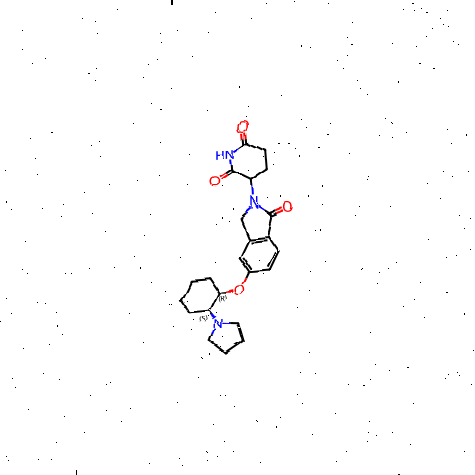 O=C1CCC(N2Cc3cc(O[C@@H]4CCCC[C@@H]4N4CCCC4)ccc3C2=O)C(=O)N1